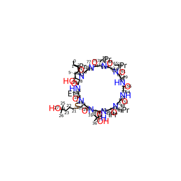 C/C=C/C[C@@H](C)[C@@H](O)[C@H]1C(=O)N[C@@H](CC)C(=O)N(C)[C@H](CSCCCC(C)(C)O)C(=O)N(C)[C@@H](CC(C)(C)O)C(=O)N[C@@H](C(C)C)C(=O)N(C)[C@@H](CC(C)C)C(=O)N[C@@H](C)C(=O)N[C@H](C)C(=O)N(C)[C@@H](CC(C)C)C(=O)N(C)[C@@H](CC(C)C)C(=O)N(C)[C@@H](C(C)C)C(=O)N1C